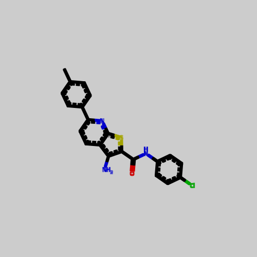 Cc1ccc(-c2ccc3c(N)c(C(=O)Nc4ccc(Cl)cc4)sc3n2)cc1